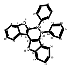 c1ccc(B2c3oc4ccccc4c3-c3oc4ccccc4c3N2c2ccccc2)cc1